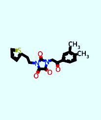 Cc1ccc(C(=O)CN2C(=O)C(=O)N(CCc3cccs3)C2=O)cc1C